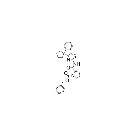 O=C(Nc1nc(C2(c3ccccc3)CCCC2)cs1)[C@@H]1CCCN1C(=O)OCc1ccccc1